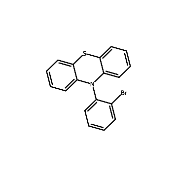 Brc1ccccc1N1c2ccccc2Sc2ccccc21